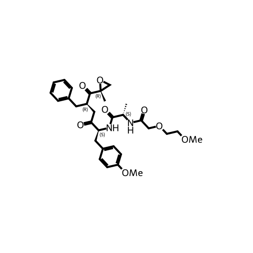 COCCOCC(=O)N[C@@H](C)C(=O)N[C@@H](Cc1ccc(OC)cc1)C(=O)C[C@@H](Cc1ccccc1)C(=O)[C@@]1(C)CO1